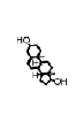 C[C@]12CCC(O)CC1=CC=C1[C@@H]2CC[C@]2(C)C(O)CC[C@@H]12